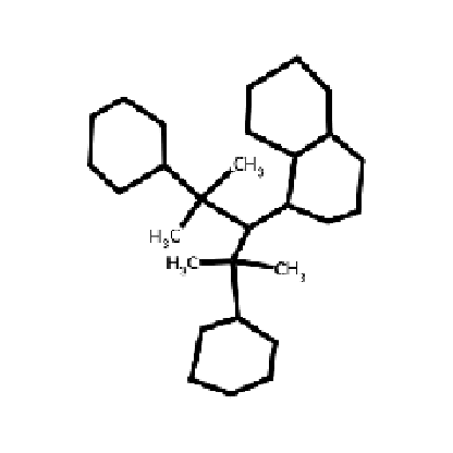 CC(C)(C1CCCCC1)C(C1CCCC2CCCCC21)C(C)(C)C1CCCCC1